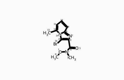 CON(C)C(=O)c1nc2cccc(C)n2c1Br